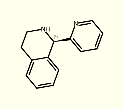 c1ccc([C@@H]2NCCc3ccccc32)nc1